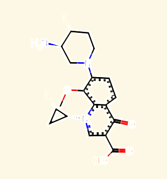 COc1c(N2CC[C@@H](F)[C@H](N)C2)ccc2c(=O)c(C(=O)O)cn([C@@H]3C[C@@H]3F)c12